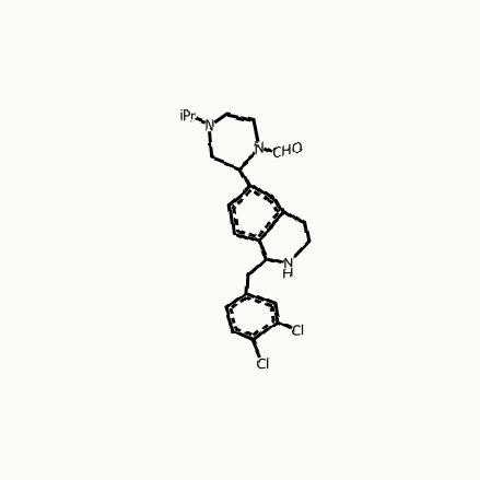 CC(C)N1CCN(C=O)C(c2ccc3c(c2)CCNC3Cc2ccc(Cl)c(Cl)c2)C1